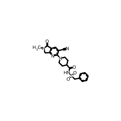 CN1Cc2nc(N3CCC(C(=O)NS(=O)(=O)Cc4ccccc4)CC3)c(C#N)cc2C1=O